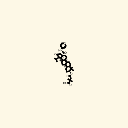 CC(C)C1=C2[C@H]3CCC4[C@@]5(C)CC[C@H](OC(=O)CC(C)(C)C(=O)O)C(C)(C)C5CC[C@@]4(C)[C@]3(C)CC[C@@]2(C(=O)Nc2ccncc2)CC1=O